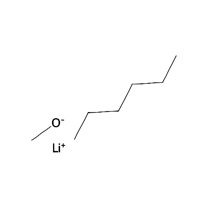 CCCCCC.C[O-].[Li+]